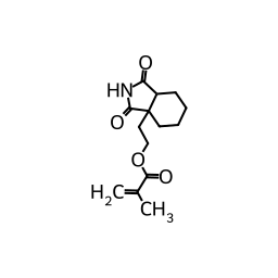 C=C(C)C(=O)OCCC12CCCCC1C(=O)NC2=O